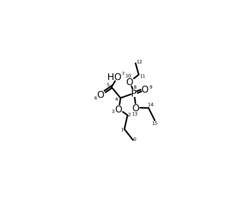 CCCOC(C(=O)O)P(=O)(OCC)OCC